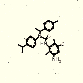 Cc1ccc(C(C)N(C(=O)Nc2c(C)c(N)cc(Cl)c2C)c2ccc(C(C)C)cc2)cc1